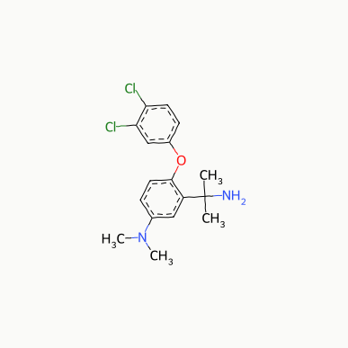 CN(C)c1ccc(Oc2ccc(Cl)c(Cl)c2)c(C(C)(C)N)c1